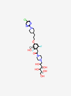 O=C(Cc1c(F)cc(OCCCC2CCN(c3ncc(Cl)cn3)CC2)cc1F)N1CCN(C[C@H](O)[C@@H](O)[C@H](O)[C@H](O)CO)CC1.O=CO